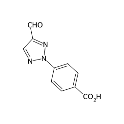 O=Cc1cnn(-c2ccc(C(=O)O)cc2)n1